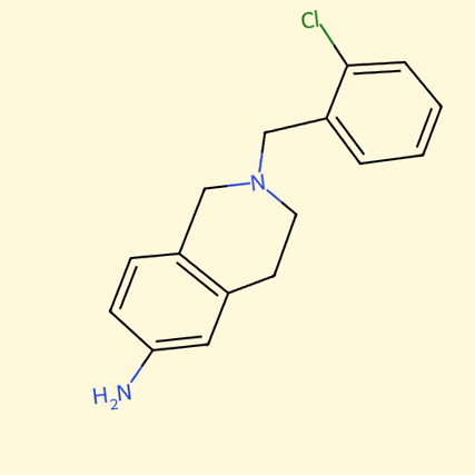 Nc1ccc2c(c1)CCN(Cc1ccccc1Cl)C2